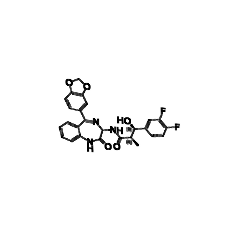 C[C@@H](C(=O)NC1N=C(c2ccc3c(c2)OCO3)c2ccccc2NC1=O)[C@@H](O)c1ccc(F)c(F)c1